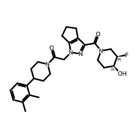 Cc1cccc(C2CCN(C(=O)Cn3nc(C(=O)N4CC[C@H](O)[C@H](F)C4)c4c3CCC4)CC2)c1C